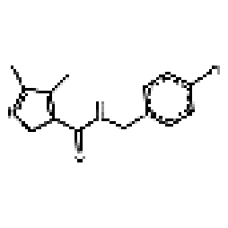 CC1=NCC(C(=O)NCc2ccc(Cl)cc2)=C1C